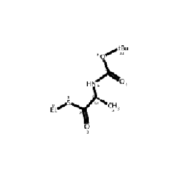 CCSC(=O)[C@H](C)NC(=O)OC(C)(C)C